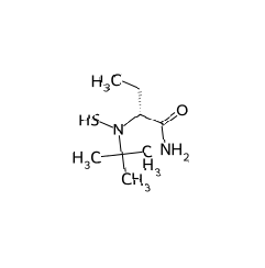 CC[C@H](C(N)=O)N(S)C(C)(C)C